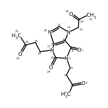 CC(=O)CCn1c(=O)c2c(ncn2CC(C)=O)n(CCC(C)=O)c1=O